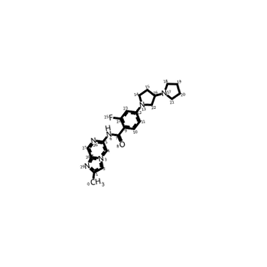 Cc1cn2cc(NC(=O)c3ccc(N4CCC(N5CCCC5)C4)cc3F)ncc2n1